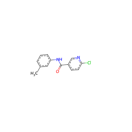 Cc1cccc(NC(=O)c2ccc(Cl)nc2)c1